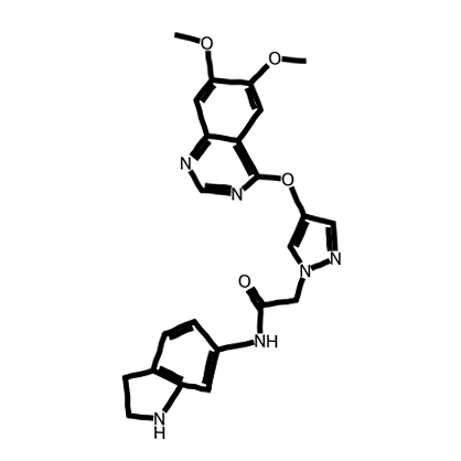 COc1cc2ncnc(Oc3cnn(CC(=O)Nc4ccc5c(c4)NCC5)c3)c2cc1OC